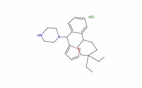 CCC1(CC)CCC(c2ccccc2C(c2ccco2)N2CCNCC2)CC1.Cl